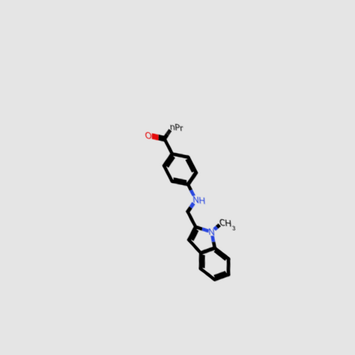 CCCC(=O)c1ccc(NCc2cc3ccccc3n2C)cc1